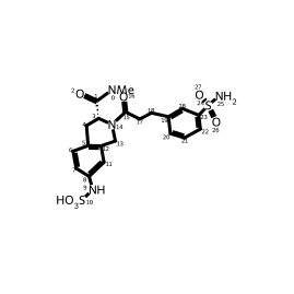 CNC(=O)[C@H]1Cc2ccc(NS(=O)(=O)O)cc2CN1C(=O)CCc1cccc(S(N)(=O)=O)c1